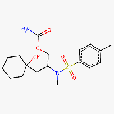 Cc1ccc(S(=O)(=O)N(C)C(COC(N)=O)CC2(O)CCCCC2)cc1